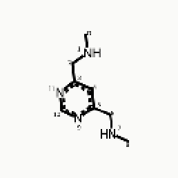 CNCc1cc(CNC)ncn1